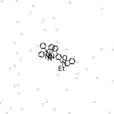 CCc1cc2ccccc2c(=O)n1Cc1ccc(-c2ccccc2-c2nnnn2C(c2ccccc2)(c2ccccc2)c2ccccc2)cc1